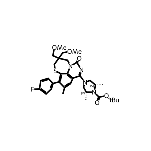 COCC1(COC)CSc2c(-c3ccc(F)cc3)c(C)cc3c(N4C[C@@H](C)N(C(=O)OC(C)(C)C)[C@@H](C)C4)nc(=O)n(c23)C1